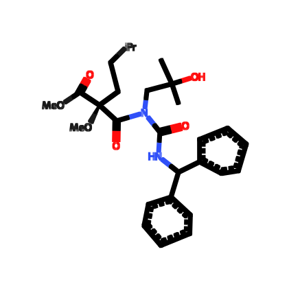 COC(=O)[C@@](CCC(C)C)(OC)C(=O)N(CC(C)(C)O)C(=O)NC(c1ccccc1)c1ccccc1